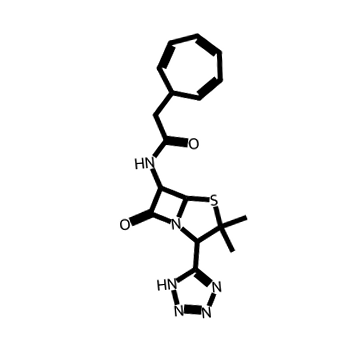 CC1(C)SC2C(NC(=O)CC3C=CC=CC=C3)C(=O)N2C1c1nnn[nH]1